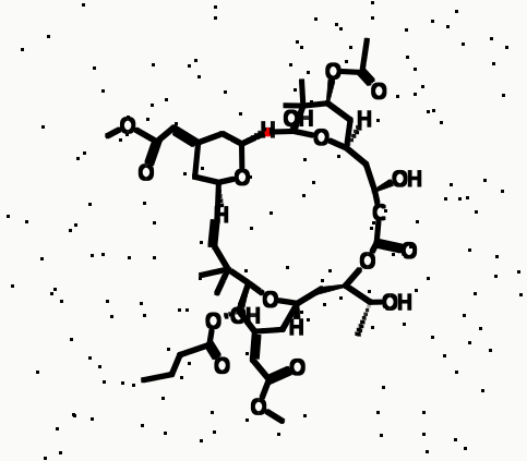 CCCC(=O)O[C@H]1/C(=C/C(=O)OC)C[C@H]2C[C@H]([C@@H](C)O)OC(=O)C[C@H](O)C[C@@H]3C[C@H](OC(C)=O)C(C)(C)[C@](O)(C[C@@H]4C/C(=C/C(=O)OC)C[C@H](/C=C/C(C)(C)[C@]1(O)O2)O4)O3